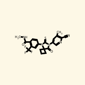 CNC(=O)c1ccc(N2C(=S)N(c3cnc(C#N)c(C)c3)C(=O)C23CCC3)cc1C(F)(F)F